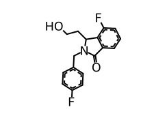 O=C1c2cccc(F)c2C(CCO)N1Cc1ccc(F)cc1